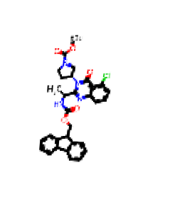 C[C@H](NC(=O)OCC1c2ccccc2-c2ccccc21)c1nc2cccc(Cl)c2c(=O)n1[C@H]1CCN(C(=O)OC(C)(C)C)C1